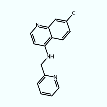 Clc1ccc2c(NCc3ccccn3)ccnc2c1